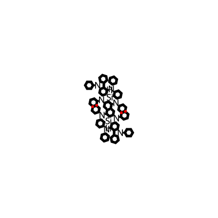 c1ccc(N2c3cc4c5c6c(cc4c4c3[SiH]3c7c(cccc7N(c7ccccc7)c7c3c2cc2c7c3ccccc3n2-c2ccccc2)N4c2ccccc2)N(c2ccccc2)c2cc3c(c4c2[SiH]6c2c(cccc2N4c2ccccc2)N5c2ccccc2)c2ccccc2n3-c2ccccc2)cc1